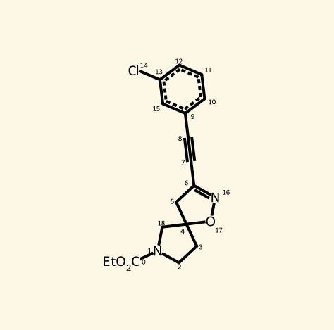 CCOC(=O)N1CCC2(CC(C#Cc3cccc(Cl)c3)=NO2)C1